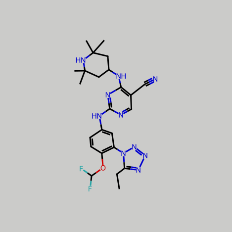 CCc1nnnn1-c1cc(Nc2ncc(C#N)c(NC3CC(C)(C)NC(C)(C)C3)n2)ccc1OC(F)F